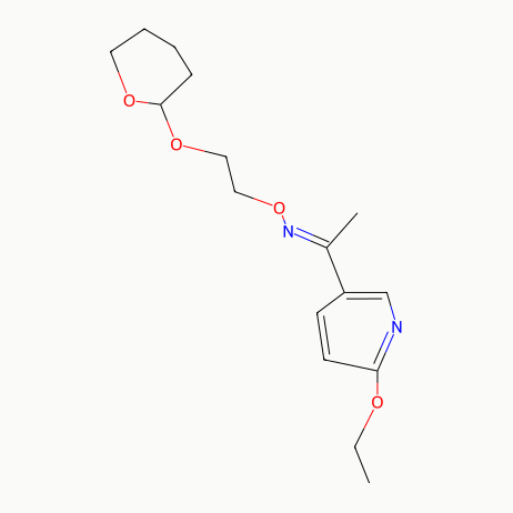 CCOc1ccc(C(C)=NOCCOC2CCCCO2)cn1